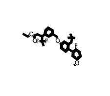 CCOC(=O)CC(c1cccc(COc2ccc(-c3cc(OC)ccc3F)c(CC(C)(C)C)c2)c1)C(C)(F)F